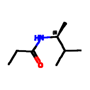 CCC(=O)N[C@@H](C)C(C)C